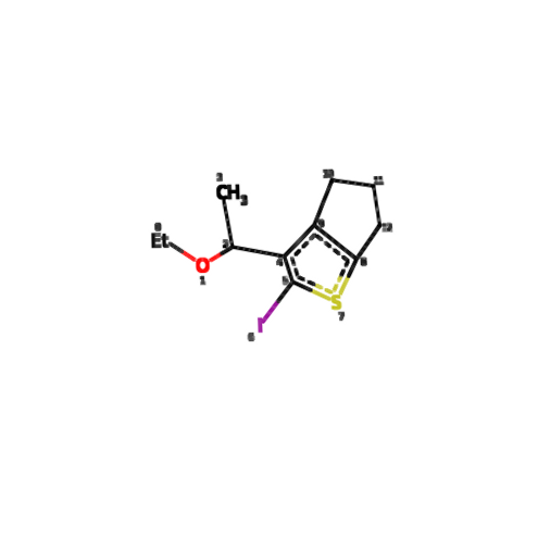 CCOC(C)c1c(I)sc2c1CCC2